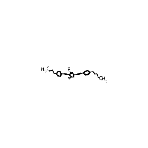 CCCCCc1ccc(C#Cc2cc(F)c(C#Cc3ccc(CCCC)cc3)c(F)c2)cc1